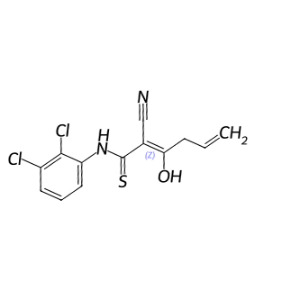 C=CC/C(O)=C(\C#N)C(=S)Nc1cccc(Cl)c1Cl